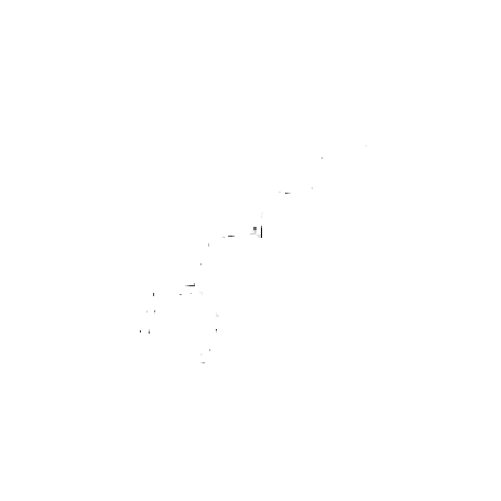 CCC[CH2][AlH][CH2]c1ccccc1